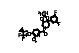 [2H]C1([2H])OC2CN(C(=O)c3ccc(OCC4(C(F)(F)F)CC4)c(OC)n3)CCC2(c2cc(F)cc(F)c2)O1